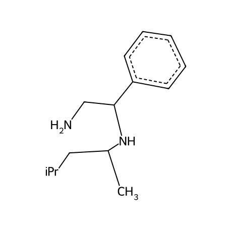 CC(C)CC(C)NC(CN)c1ccccc1